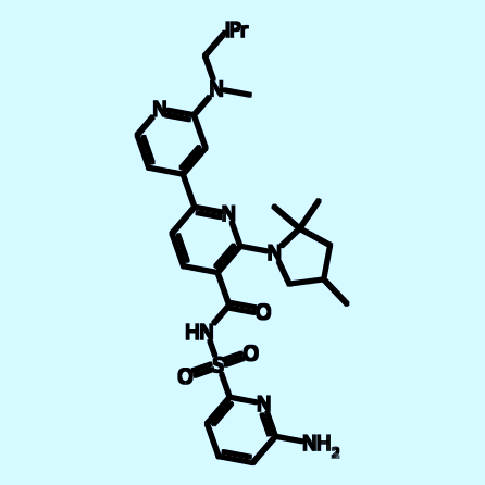 CC(C)CN(C)c1cc(-c2ccc(C(=O)NS(=O)(=O)c3cccc(N)n3)c(N3CC(C)CC3(C)C)n2)ccn1